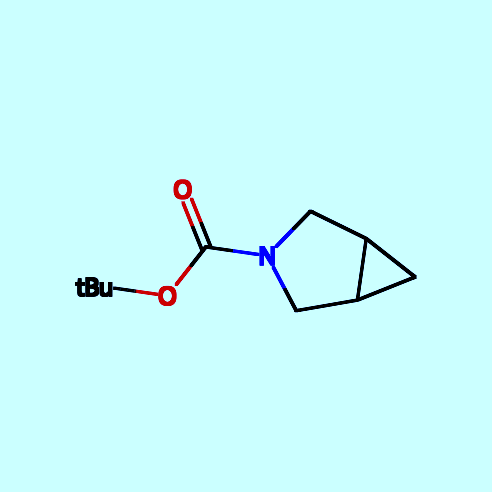 CC(C)(C)OC(=O)N1CC2CC2C1